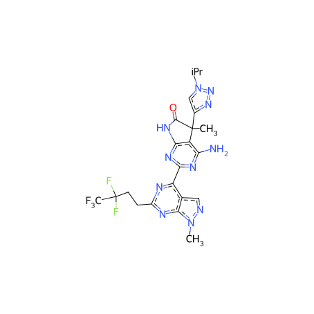 CC(C)n1cc(C2(C)C(=O)Nc3nc(-c4nc(CCC(F)(F)C(F)(F)F)nc5c4cnn5C)nc(N)c32)nn1